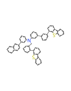 c1cc(-c2cccc(N(Cc3ccccc3-c3cccc4c3sc3ccccc34)c3cccc(-c4ccc5ccccc5c4)c3)c2)cc(-c2cccc3c2sc2ccccc23)c1